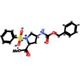 COC(=O)[C@@H]1C[C@@H](NC(=O)OCc2ccccc2)CN1S(=O)(=O)c1ccccc1